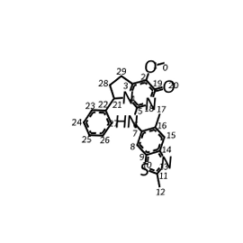 COc1c2n(c(Nc3cc4sc(C)nc4cc3C)nc1=O)C(c1ccccc1)CC2